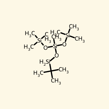 CC(C)(C)[SiH2]O[Si](C)(O[Si](C)(C)C)O[Si](C)(C)C